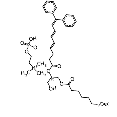 CCCCCCCCCCCCCCCC(=O)OC[C@H](CO)OC(=O)CCC=CC=CC=C(c1ccccc1)c1ccccc1.C[N+](C)(C)CCOP(=O)([O-])O